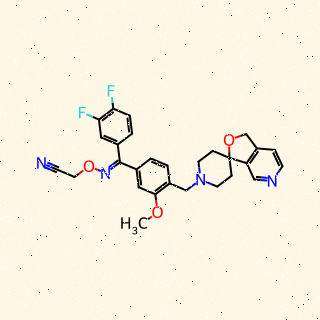 COc1cc(/C(=N/OCC#N)c2ccc(F)c(F)c2)ccc1CN1CCC2(CC1)OCc1ccncc12